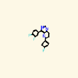 Fc1ccc(-c2ccc3ncnc(-c4ccc(F)c(F)c4)c3n2)cc1